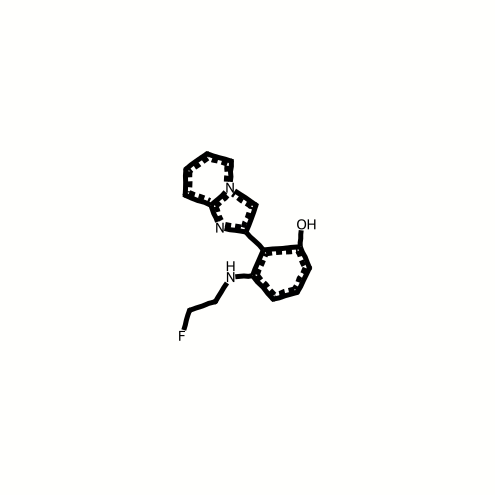 Oc1cccc(NCCF)c1-c1cn2ccccc2n1